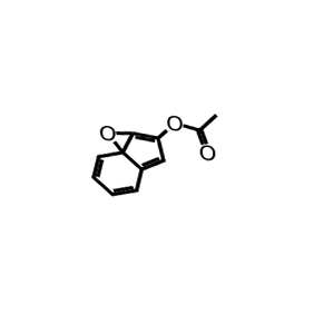 CC(=O)OC1=C2OC23C=CC=CC3=C1